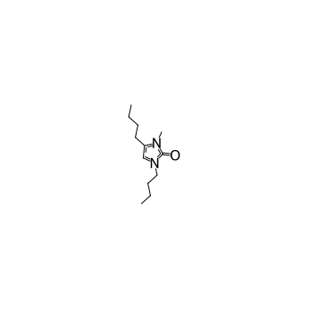 CCCCc1cn(CCCC)c(=O)n1C